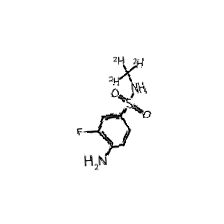 [2H]C([2H])([2H])NS(=O)(=O)c1ccc(N)c(F)c1